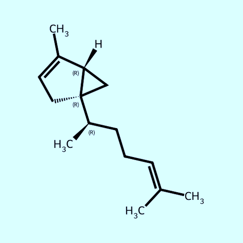 CC(C)=CCC[C@@H](C)[C@@]12CC=C(C)[C@@H]1C2